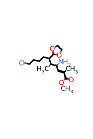 COC(=O)/C(C)=C/[C@H](N)[C@@H](C)C(CCCCCl)C1OCCO1